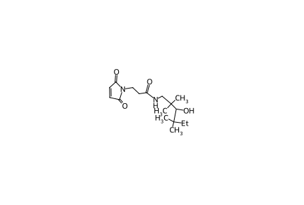 CCC(C)(C)C(O)C(C)(C)CNC(=O)CCN1C(=O)C=CC1=O